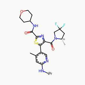 Cc1cc(NC(C)C)ncc1-c1sc(C(=O)NC2CCOCC2)nc1C(=O)N1CC(F)(F)C[C@@H]1C